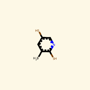 Bc1cc(S)cnc1S